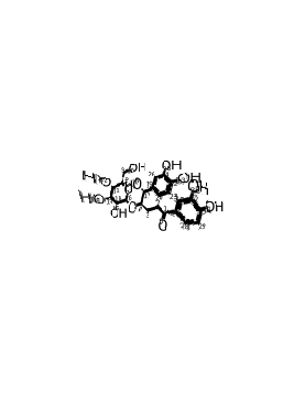 O=C(CC[C@@H](O[C@@H]1O[C@H](CO)[C@@H](O)[C@H](O)[C@H]1O)[C@H](O)c1ccc(O)c(O)c1)c1ccc(O)c(O)c1